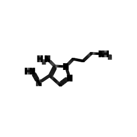 N=Nc1cnn(CCCN)c1N